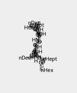 CCCCCC/C=C\CCCC(=O)O[C@H](CCCCCCC)CCOCC(COP(=O)(O)OCCNC(=O)CCC(=O)NCCOP(=O)(O)OCC(COCC[C@H](O)CCCCCCC)NC(=O)CC(=O)CCCCCCCCCCC)NC(=O)CC(=O)CCCCCCCCCCC